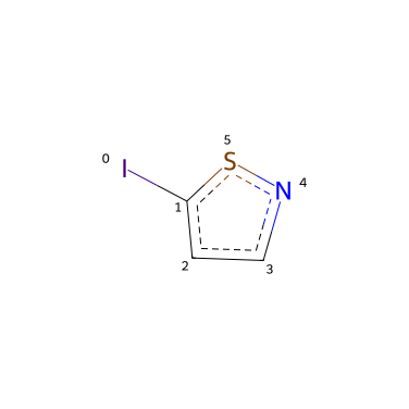 Ic1ccns1